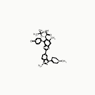 Cc1cc2nc(-c3ccc4c(c3)c(C3=CCN(C)CC3)nn4C)sc2c(-c2ccc(Cl)cc2)c1[C@H](OC(C)(C)C)C(=O)O